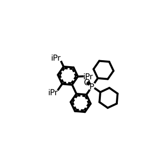 CC(C)c1cc(C(C)C)c(-c2ccccc2P(=O)(C2CCCCC2)C2CCCCC2)c(C(C)C)c1